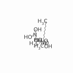 CCCCCCCCCCCC(=O)N(C(O)CC)C(C)C(=O)O.OCCN(CCO)CCO